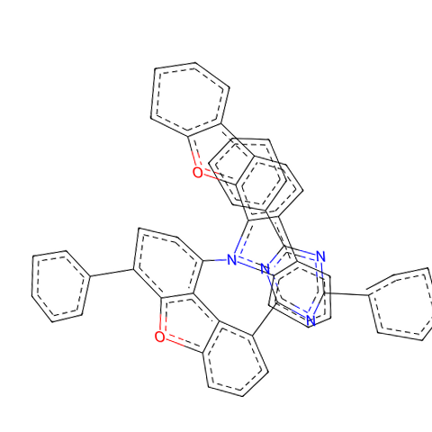 c1ccc(-c2nc(-c3ccccc3)nc(-c3cccc4oc5c(-c6ccccc6)ccc(-n6c7ccccc7c7ccc8c9ccccc9oc8c76)c5c34)n2)cc1